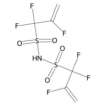 C=C(F)C(F)(F)S(=O)(=O)NS(=O)(=O)C(F)(F)C(=C)F